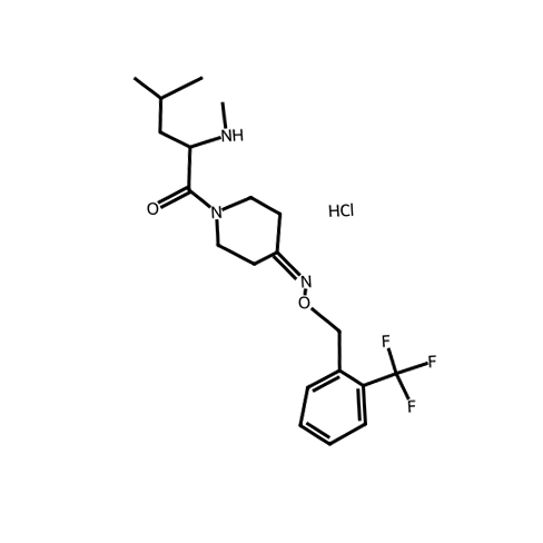 CNC(CC(C)C)C(=O)N1CCC(=NOCc2ccccc2C(F)(F)F)CC1.Cl